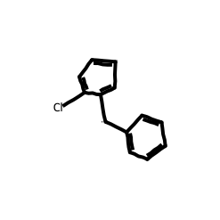 Clc1ccccc1[CH]c1ccccc1